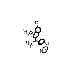 C1=NCCO1.CC(C1=Cc2ccc(F)cc2N(C)C1)c1ccc(Cl)cc1